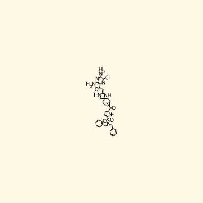 Cn1c(C(=O)N2CCC3(CC2)CN/C(=C\C(=O)c2nc(Cl)c(N)nc2N)N3)ccc1S(=O)(=O)N(Cc1ccccc1)Cc1ccccc1